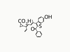 C=C/C(=C\C=C(/C)c1c(C(=O)c2ccccc2)sc2cc(O)ccc12)C1CC1C(=O)O